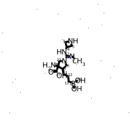 C/N=C(/NC1CNC1)N1CC(CCCB(O)O)C(N)(C(=O)O)C1